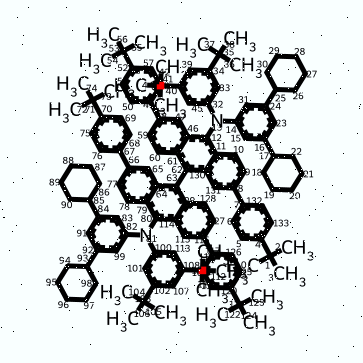 CC(C)(C)c1ccc(-c2ccc3c(N(c4cc(C5CCCCC5)cc(C5CCCCC5)c4)c4cc(C(C)(C)C)cc(C(C)(C)C)c4)c4cc(-c5ccc(C(C)(C)C)cc5)ccc4c(-c4c5cc(-c6ccc(C(C)(C)C)cc6)ccc5c(N(c5cc(C6CCCCC6)cc(C6CCCCC6)c5)c5cc(C(C)(C)C)cc(C(C)(C)C)c5)c5cc(-c6ccc(C(C)(C)C)cc6)ccc45)c3c2)cc1